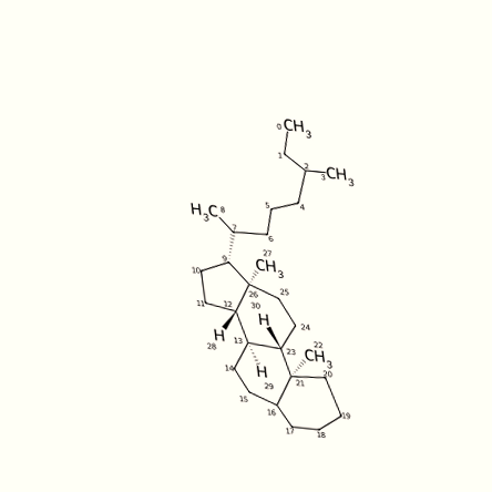 CCC(C)CCCC(C)[C@H]1CC[C@H]2[C@@H]3CCC4CCCC[C@]4(C)[C@H]3CC[C@]12C